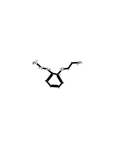 CC(C)CCOc1ccccc1SSC(C)C